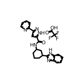 O=C(NC1CCCC(c2nc3ccccc3[nH]2)C1)c1cc(-c2ccccn2)n[nH]1.O=C(O)C(F)(F)F